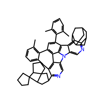 Cc1cccc(C)c1-c1cc(-c2c(C)cccc2C)c2c3c4c(ncc3n3c5cnc6c(c5c1c23)C1CC2CC(CC6C2)C1)C1CC2C3(CCCC3)C3CC4CC23C1